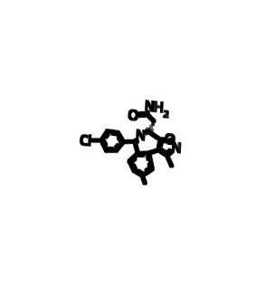 Cc1ccc2c(c1)-c1c(C)noc1[C@@H](CC(N)=O)N=C2c1ccc(Cl)cc1